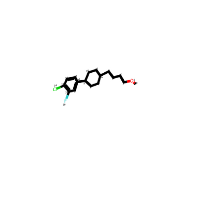 COCCCCC1CCC(c2ccc(Cl)c(F)c2)CC1